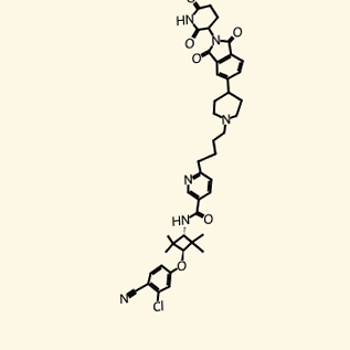 CC1(C)[C@H](NC(=O)c2ccc(CCCCN3CCC(c4ccc5c(c4)C(=O)N(C4CCC(=O)NC4=O)C5=O)CC3)nc2)C(C)(C)[C@H]1Oc1ccc(C#N)c(Cl)c1